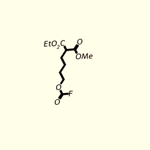 CCOC(=O)C(CCCCOC(=O)F)C(=O)OC